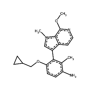 COc1nccc2c(-c3c(OCC4CC4)ccc(N)c3C)cn(C)c12